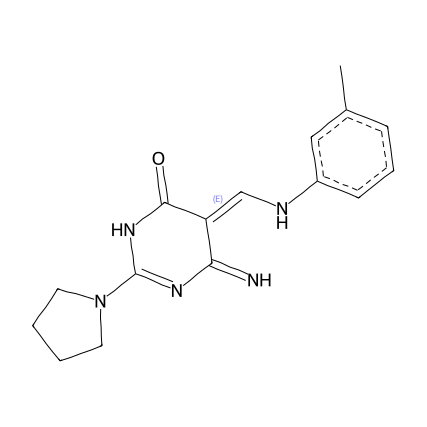 Cc1cccc(N/C=C2\C(=N)N=C(N3CCCC3)NC2=O)c1